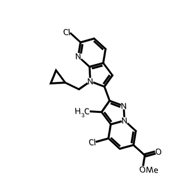 COC(=O)c1cc(Cl)c2c(C)c(-c3cc4ccc(Cl)nc4n3CC3CC3)nn2c1